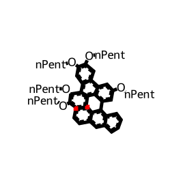 CCCCCOc1cc(-c2c3ccccc3cc3ccccc23)c2c(c1)c1cc(OCCCCC)c(OCCCCC)cc1c1c(OCCCCC)c(OCCCCC)ccc21